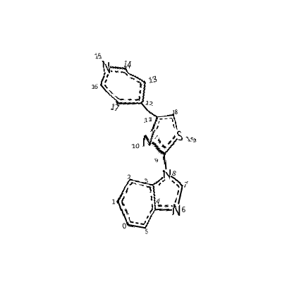 c1ccc2c(c1)ncn2-c1nc(-c2ccncc2)cs1